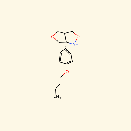 CCCCOc1ccc([C@]23COCC2CON3)cc1